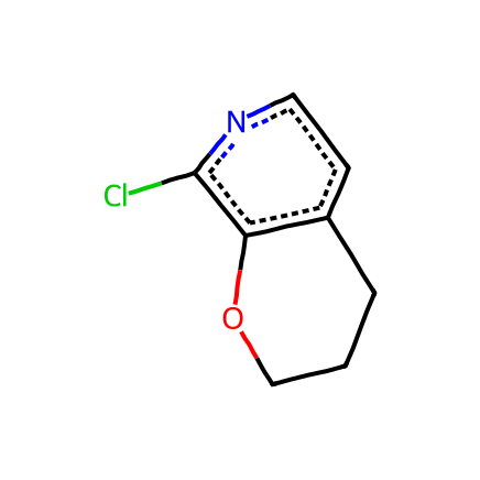 Clc1nccc2c1OCCC2